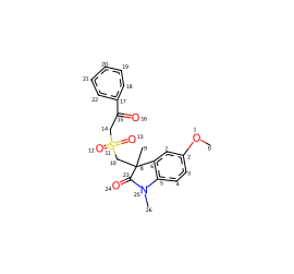 COc1ccc2c(c1)C(C)(CS(=O)(=O)CC(=O)c1ccccc1)C(=O)N2C